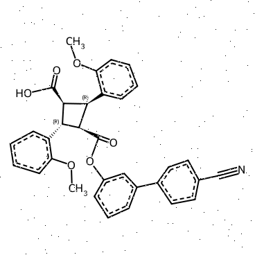 COc1ccccc1[C@@H]1[C@H](C(=O)O)[C@@H](c2ccccc2OC)[C@@H]1C(=O)Oc1cccc(-c2ccc(C#N)cc2)c1